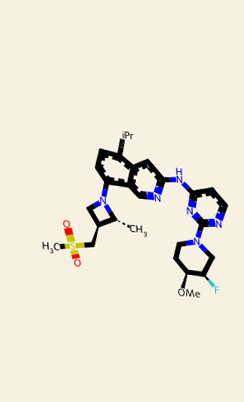 CO[C@H]1CCN(c2nccc(Nc3cc4c(C(C)C)ccc(N5C[C@H](CS(C)(=O)=O)[C@H]5C)c4cn3)n2)C[C@H]1F